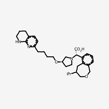 CC(C)C1COCc2cccc([C@@H](C(=O)O)N3CC[C@@H](OCCCCc4ccc5c(n4)NCCC5)C3)c2C1